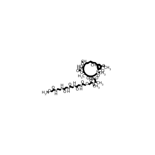 COc1cc2cc(c1Cl)N(C)C(=O)CC(OC(=O)C(C)N(C)C(=O)COCC(=O)NCC(=O)NCC(=O)NCC(=O)NCCNC(=O)CON)C1(C)OC1C(C)C1CC(O)(NC(=O)O1)C(OC)/C=C/C=C(\C)C2